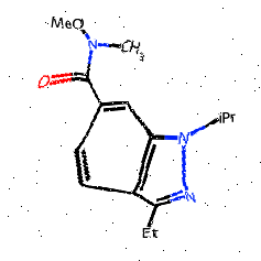 CCc1nn(C(C)C)c2cc(C(=O)N(C)OC)ccc12